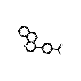 CC(=O)c1ccc(-c2ccnc3c2ccc2cccnc23)cc1